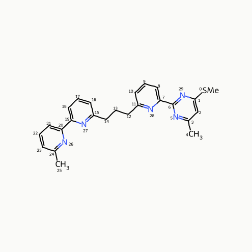 CSc1cc(C)nc(-c2cccc(CCCc3cccc(-c4cccc(C)n4)n3)n2)n1